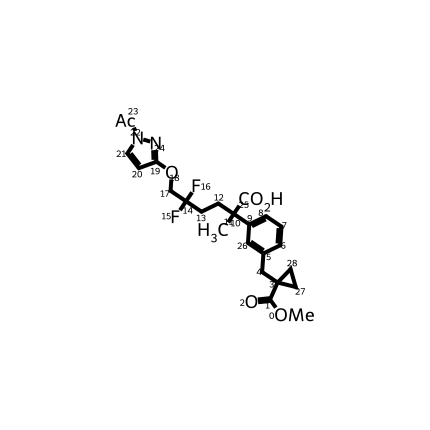 COC(=O)C1(Cc2cccc(C(C)(CCC(F)(F)COc3ccn(C(C)=O)n3)C(=O)O)c2)CC1